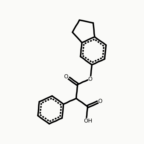 O=C(O)C(C(=O)Oc1ccc2c(c1)CCC2)c1ccccc1